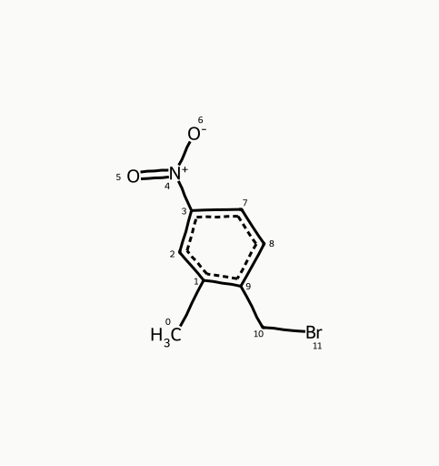 Cc1cc([N+](=O)[O-])ccc1CBr